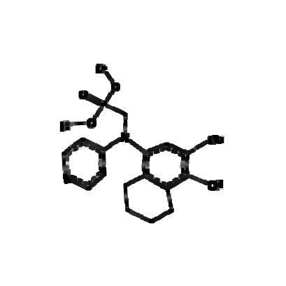 CCOP(=O)(CN(c1ccncc1)c1cc(C(C)(C)C)c(O)c2c1CCCC2)OCC